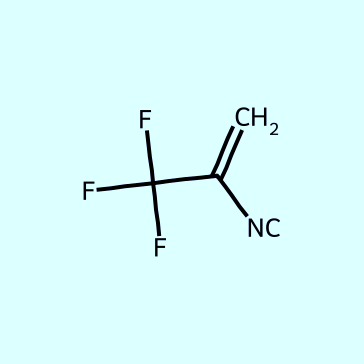 [C-]#[N+]C(=C)C(F)(F)F